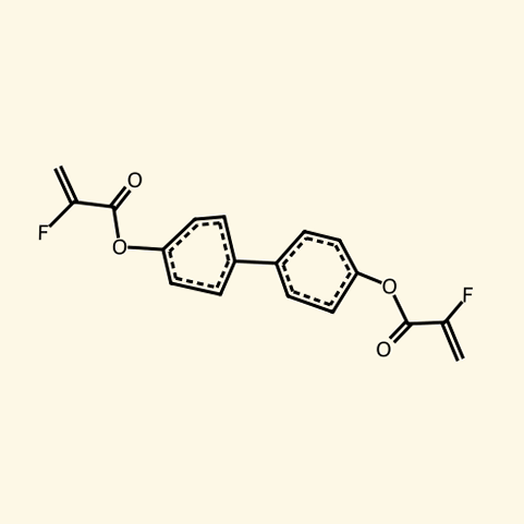 C=C(F)C(=O)Oc1ccc(-c2ccc(OC(=O)C(=C)F)cc2)cc1